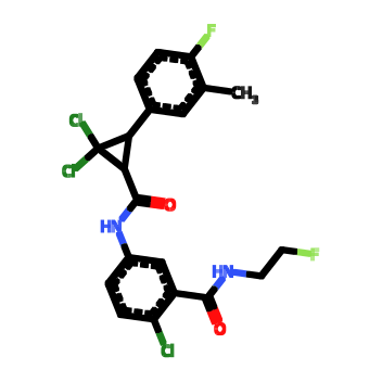 Cc1cc(C2C(C(=O)Nc3ccc(Cl)c(C(=O)NCCF)c3)C2(Cl)Cl)ccc1F